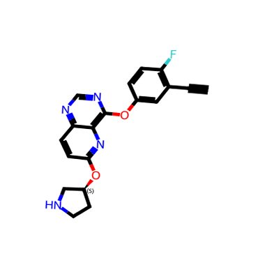 C#Cc1cc(Oc2ncnc3ccc(O[C@H]4CCNC4)nc23)ccc1F